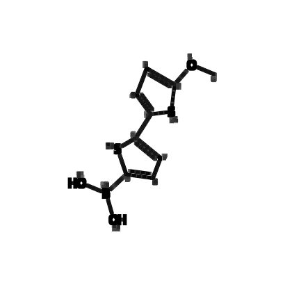 COc1ccc(-c2ccc(B(O)O)s2)s1